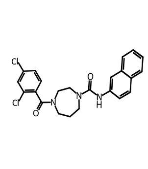 O=C(Nc1ccc2ccccc2c1)N1CCCN(C(=O)c2ccc(Cl)cc2Cl)CC1